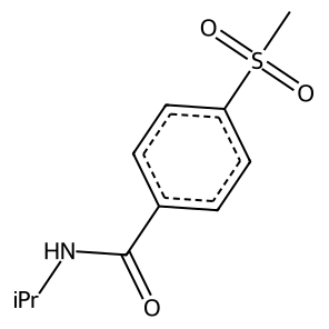 CC(C)NC(=O)c1ccc(S(C)(=O)=O)cc1